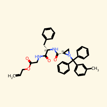 C=CCOC(=O)CNC(=O)[C@H](Cc1ccccc1)NC(=O)[C@@H]1CN1C(c1ccccc1)(c1ccccc1)c1cccc(C)c1